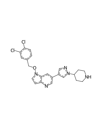 Clc1ccc(COn2ccc3ncc(-c4cnn(C5CCNCC5)c4)cc32)cc1Cl